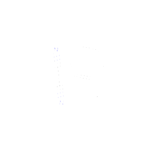 C=Cc1ccccc1.N#CC#N